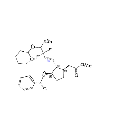 CCCCC(OC1CCCCO1)C(F)(F)/C=C/[C@@H]1[C@@H](CC(=O)OC)CC[C@H]1OC(=O)c1ccccc1